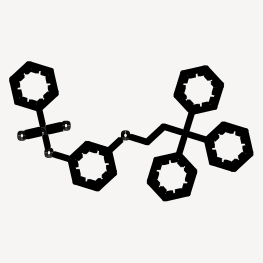 O=S(=O)(Oc1cccc(OCCC(c2ccccc2)(c2ccccc2)c2ccccc2)c1)c1ccccc1